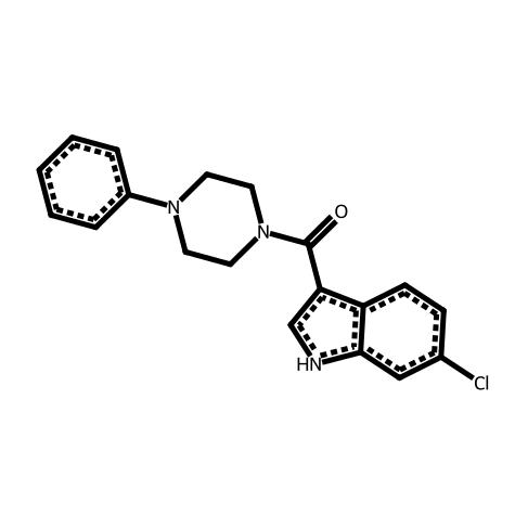 O=C(c1c[nH]c2cc(Cl)ccc12)N1CCN(c2ccccc2)CC1